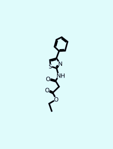 CCOC(=O)CC(=O)Nc1nc(-c2ccccc2)cs1